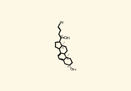 CC(C)CCC[C@@H](O)C1CCC2C3=CC=C4C[C@@H](O)CC[C@]4(C)C3CC[C@@]21C